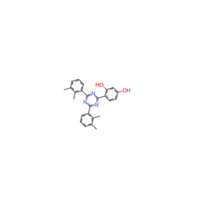 Cc1cccc(-c2nc(-c3ccc(O)cc3O)nc(-c3cccc(C)c3C)n2)c1C